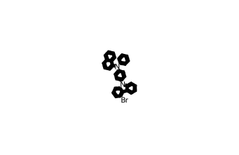 Brc1cccc2c1c1ccccc1n2-c1ccc(N(c2ccccc2)c2cccc3ccccc23)cc1